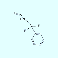 C=CNCC(F)(F)c1ccccc1